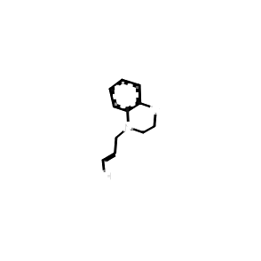 OC=CCN1CCOc2ccccc21